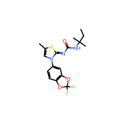 CCC(C)(C)NC(=O)/N=c1\sc(C)cn1-c1ccc2c(c1)OC(F)(F)O2